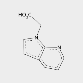 O=C(O)Cn1c[c]c2cccnc21